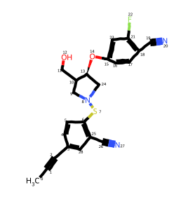 CC#Cc1ccc(SN2CC(CO)[C@@H](Oc3ccc(C#N)c(F)c3)C2)c(C#N)c1